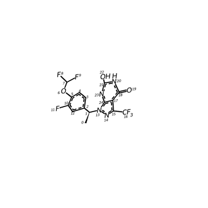 C[C@@H](c1ccc(OC(F)F)c(F)c1)n1nc(C(F)(F)F)c2c(=O)[nH]c(O)nc21